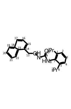 CC(C)c1cccc(C(C)C)c1NC(=O)NOCc1cccc2ccccc12